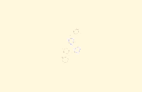 Cc1nc(C)nc(Cc2nc(Cc3ccccc3)nc(Cc3ccc4c(c3)Cc3ccccc3-4)n2)n1